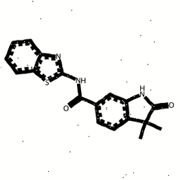 CC1(C)C(=O)Nc2cc(C(=O)Nc3nc4ccccc4s3)ccc21